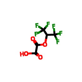 O=C(O)C(=O)OC(C(F)(F)F)C(F)(F)F